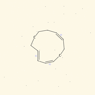 [CH]1/C=C\C=C\CCCC/C=C\C1